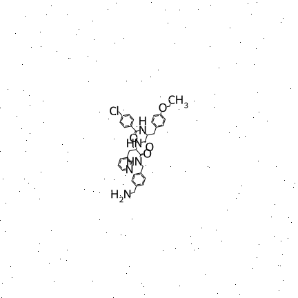 CCOc1ccc(CC(NC(=O)c2ccc(Cl)cc2)C(=O)NC(Cc2cccnc2)C(=O)NCc2ccc(CN)cc2)cc1